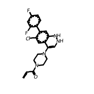 C=CC(=O)N1CCN(C2=CNNc3cc(-c4ccc(F)cc4F)c(Cl)cc32)CC1